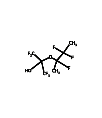 CC(F)(F)C(C)(F)OC(O)(C(F)(F)F)C(F)(F)F